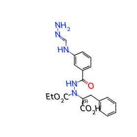 CCOC(=O)N(NC(=O)c1cccc(NC=NN)c1)[C@@H](Cc1ccccc1)C(=O)O